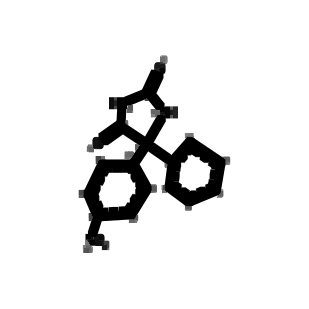 O=C1NC(=O)C(c2ccccc2)(c2ccc([N+](=O)[O-])cc2)N1